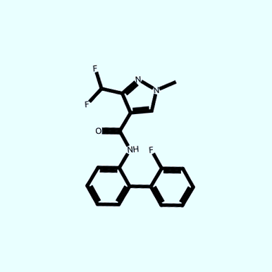 Cn1cc(C(=O)Nc2ccccc2-c2ccccc2F)c(C(F)F)n1